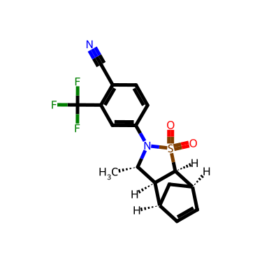 C[C@H]1[C@H]2[C@H]([C@H]3C=C[C@@H]2C3)S(=O)(=O)N1c1ccc(C#N)c(C(F)(F)F)c1